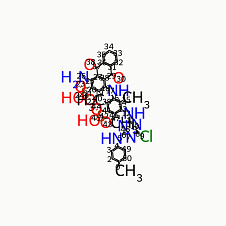 Cc1ccc(Nc2nc(Cl)nc(Nc3c(C)c(Nc4cc(S(=O)(=O)O)c(N)c5c4C(=O)c4ccccc4C5=O)c(C)c(S(=O)(=O)O)c3C)n2)cc1